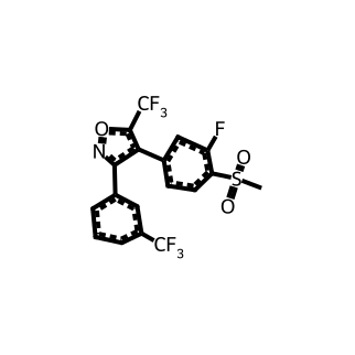 CS(=O)(=O)c1ccc(-c2c(-c3cccc(C(F)(F)F)c3)noc2C(F)(F)F)cc1F